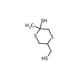 CC1(S)CSC(CS)CS1